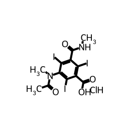 CNC(=O)c1c(I)c(C(=O)O)c(I)c(N(C)C(C)=O)c1I.Cl